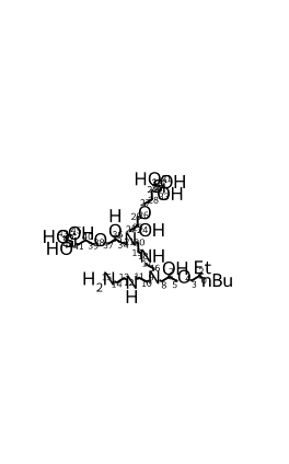 CCCCC(CC)COCC(O)CN(CCNCCN)CCNCCN(CC(O)COCCC[Si](O)(O)O)CC(O)COCCC[Si](O)(O)O